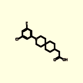 O=C(O)CC1CCC2(CC1)CCN(c1cc(F)cc(Cl)c1)CC2